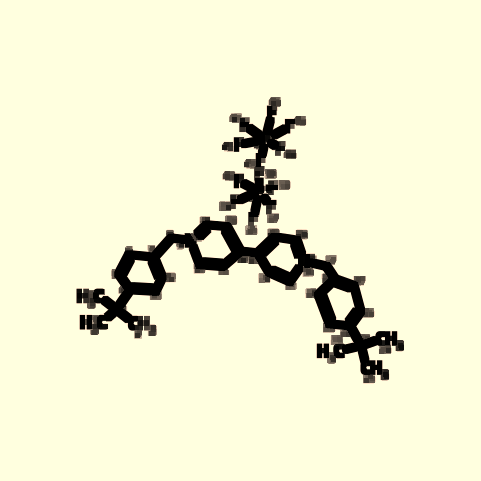 CC(C)(C)c1ccc(C[n+]2ccc(-c3cc[n+](Cc4ccc(C(C)(C)C)cc4)cc3)cc2)cc1.F[P-](F)(F)(F)(F)F.F[P-](F)(F)(F)(F)F